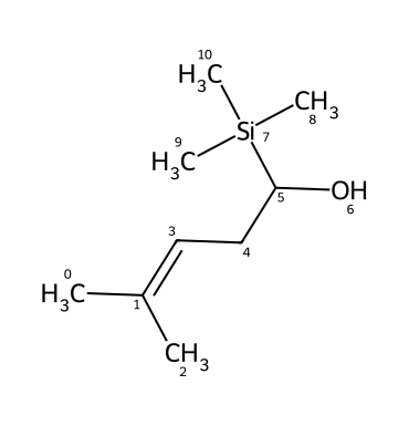 CC(C)=CCC(O)[Si](C)(C)C